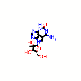 CC1(O)[C@H](O)[C@@H](CO)O[C@H]1n1cc2c3c(ncnc31)NC(=O)N=C2N